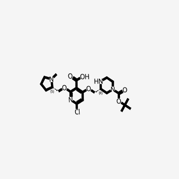 CN1CCC[C@H]1COc1nc(Cl)cc(OC[C@H]2CN(C(=O)OC(C)(C)C)CCN2)c1C(=O)O